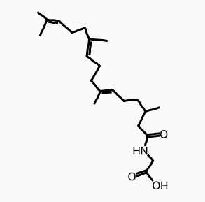 CC(C)=CCCC(C)=CCCC(C)=CCCC(C)CC(=O)NCC(=O)O